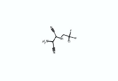 N#CC(N)C(C#N)NCC(F)(F)Cl